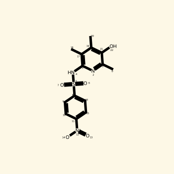 Cc1nc(NS(=O)(=O)c2ccc([N+](=O)[O-])cc2)c(C)c(C)c1O